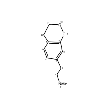 CNCCc1ccc2c(c1)OOCC2